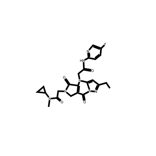 CCc1cc2n(CC(=O)Nc3ccc(F)cn3)c3c(c(=O)n2n1)CN(CC(=O)N(C)C1CC1)C3=O